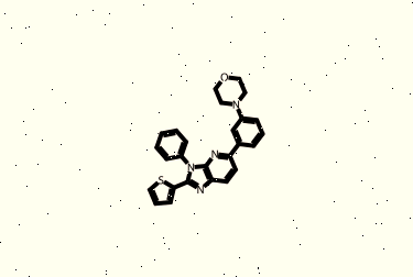 [c]1ccc(-n2c(-c3cccs3)nc3ccc(-c4cccc(N5CCOCC5)c4)nc32)cc1